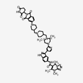 CC1=C(C(=O)Nc2ccc3[nH]nc(-c4ccnc(N5C[C@@H](C)N(CC6CCN(CC7CCN(c8ccc9c(c8)C(=O)N(C8CCC(=O)NC8=O)C9=O)CC7)CC6)[C@@H](C)C5)c4)c3c2)[C@H](C)n2nnnc2N1C